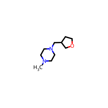 CN1CCN(CC2CCOC2)CC1